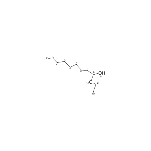 CCCCCCCCC(O)OCC